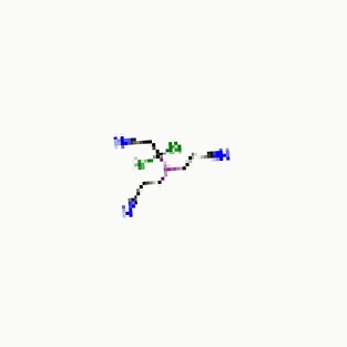 N#CCCP(CCC#N)C(Br)(Br)CC#N